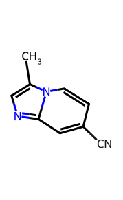 Cc1cnc2cc(C#N)ccn12